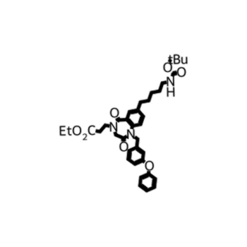 CCOC(=O)CCN1CC(=O)N(Cc2cccc(Oc3ccccc3)c2)c2ccc(CCCCCNC(=O)OC(C)(C)C)cc2C1=O